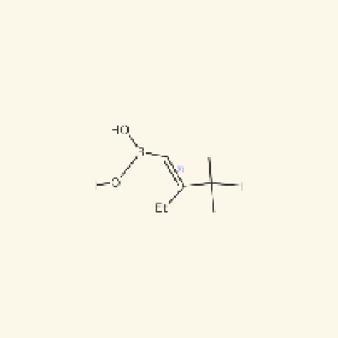 CC/C(=C\B(O)OI)C(C)(C)I